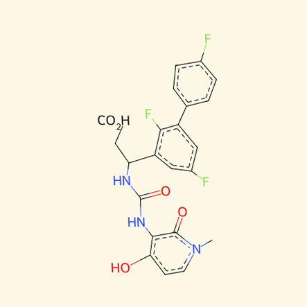 Cn1ccc(O)c(NC(=O)NC(CC(=O)O)c2cc(F)cc(-c3ccc(F)cc3)c2F)c1=O